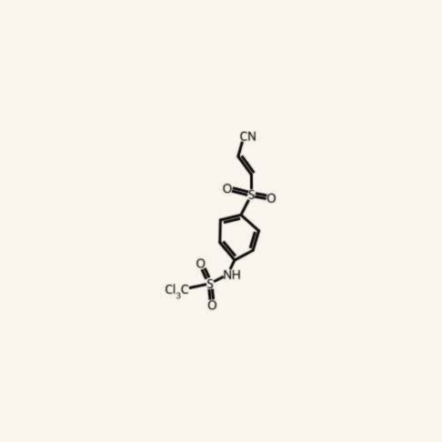 N#CC=CS(=O)(=O)c1ccc(NS(=O)(=O)C(Cl)(Cl)Cl)cc1